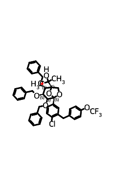 CC(C)(O)[C@@]12CO[C@@](c3ccc(Cl)c(Cc4ccc(OC(F)(F)F)cc4)c3)(O1)[C@@H](OCc1ccccc1)[C@@H](OCc1ccccc1)[C@@H]2OCc1ccccc1